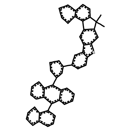 CC1(C)c2cc3sc4ccc(-c5cccc(-c6c7ccccc7c(-c7cccc8ccccc78)c7ccccc67)c5)cc4c3cc2-c2c1ccc1ccccc21